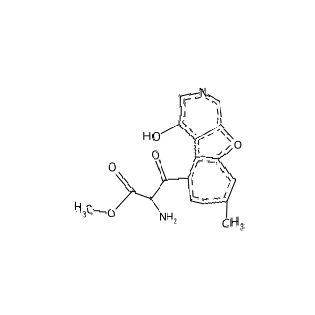 COC(=O)C(N)C(=O)c1cc(C)cc2oc3cncc(O)c3c12